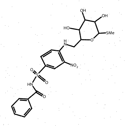 CSC1OC(CNc2ccc(S(=O)(=O)NC(=O)c3ccccc3)cc2[N+](=O)[O-])C(O)C(O)C1O